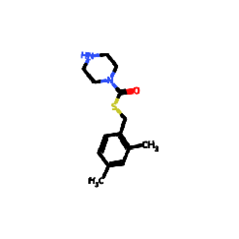 Cc1ccc(CSC(=O)N2CCNCC2)c(C)c1